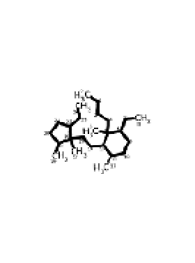 CCCCC1(C)C(CC)CC[C@@H](C)C1CCC1(C)C(C)CCC1CC